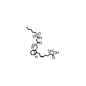 CCCCCS(=O)(=O)NCC(=O)NC[C@H]1C(C/C=C\CC[C@@H](O)C(=O)O)[C@H]2CC[C@@H]1O2